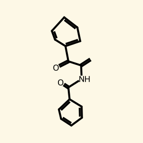 C=C(NC(=O)c1ccccc1)C(=O)c1ccccc1